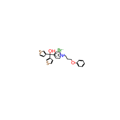 OC(c1ccsc1)(c1ccsc1)C12CC[N+](CCCOc3ccccc3)(CC1)CC2.[Br-]